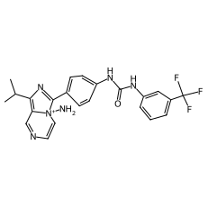 CC(C)C1=C2C=NC=C[N+]2(N)C(c2ccc(NC(=O)Nc3cccc(C(F)(F)F)c3)cc2)=N1